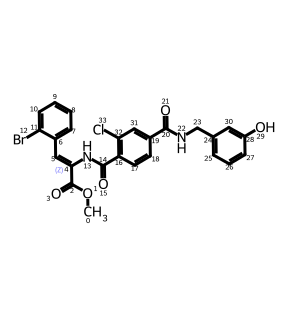 COC(=O)/C(=C/c1ccccc1Br)NC(=O)c1ccc(C(=O)NCc2cccc(O)c2)cc1Cl